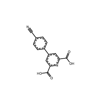 N#Cc1ccc(-c2cc(C(=O)O)nc(C(=O)O)c2)cc1